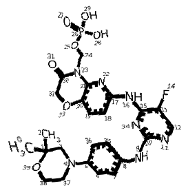 CC1(C)CN(c2ccc(Nc3ncc(F)c(Nc4ccc5c(n4)N(COP(=O)(O)O)C(=O)CO5)n3)cc2)CCO1